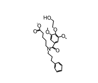 COC(=O)CCCCN(CCCc1ccccc1)C(=O)c1cc(OC)c(OCCO)c(OC)c1